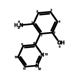 Nc1cccc(O)c1-c1cccnn1